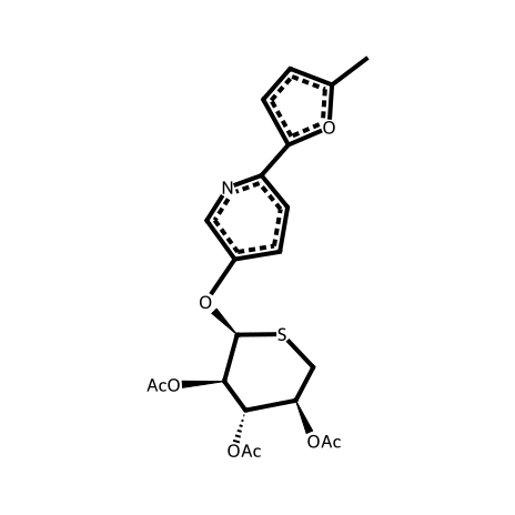 CC(=O)O[C@@H]1[C@@H](OC(C)=O)[C@@H](Oc2ccc(-c3ccc(C)o3)nc2)SC[C@H]1OC(C)=O